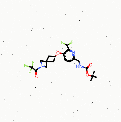 CC(C)(C)OC(=O)NCc1ccc(OC2CC3(C2)CN(C(=O)C(F)(F)F)C3)c(C(F)F)n1